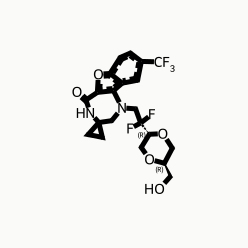 O=C1NC2(CC2)CN(CC(F)(F)[C@H]2CO[C@H](CO)CO2)c2c1oc1ccc(C(F)(F)F)cc21